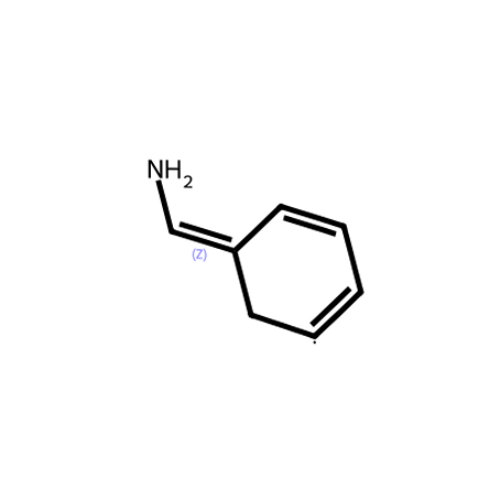 N/C=C1\C=CC=[C]C1